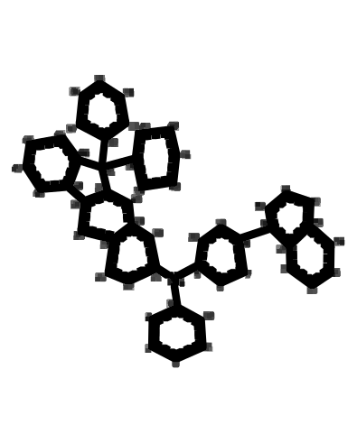 c1ccc(N(c2ccc(-c3cccc4ccccc34)cc2)c2ccc3cc4c(cc3c2)C(c2ccccc2)(c2ccccc2)c2ccccc2-4)cc1